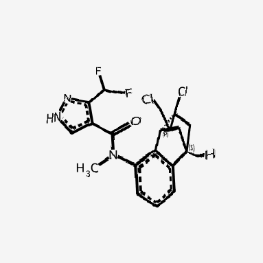 CN(C(=O)c1c[nH]nc1C(F)F)c1cccc2c1[C@@]13CC[C@H]2C1C3(Cl)Cl